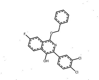 Oc1c(-c2ccc(Cl)c(Cl)c2)nc(OCc2ccccc2)c2cc(F)ccc12